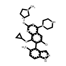 Cc1ccc2[nH]ncc2c1-c1c(Cl)cc2c(N3CCNCC3)nc(O[C@@H]3CCN(C)C3)nc2c1OC1CC1